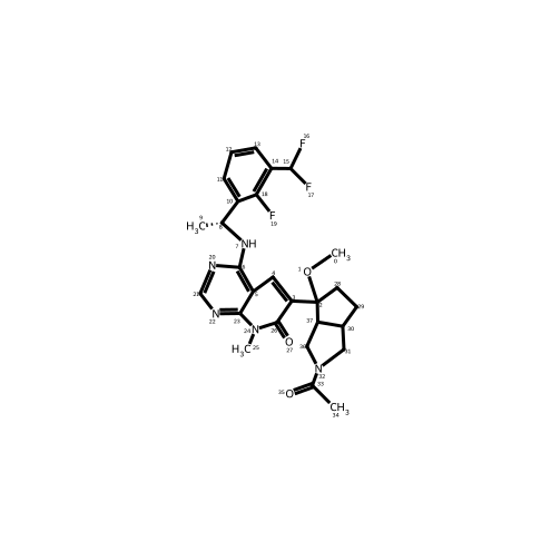 COC1(c2cc3c(N[C@H](C)c4cccc(C(F)F)c4F)ncnc3n(C)c2=O)CCC2CN(C(C)=O)CC21